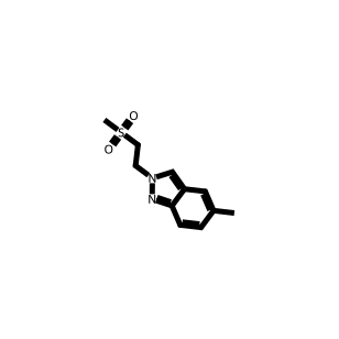 Cc1ccc2nn(CCS(C)(=O)=O)cc2c1